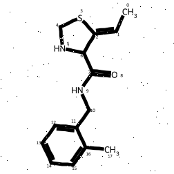 C/C=C1\SCNC1C(=O)NCc1ccccc1C